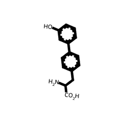 NC(Cc1ccc(-c2cccc(O)c2)cc1)C(=O)O